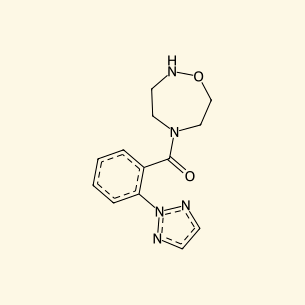 O=C(c1ccccc1-n1nccn1)N1CCNOCC1